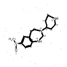 C[S+]([O-])c1ccc2c(c1)CCN(C1CCNCC1)CN2